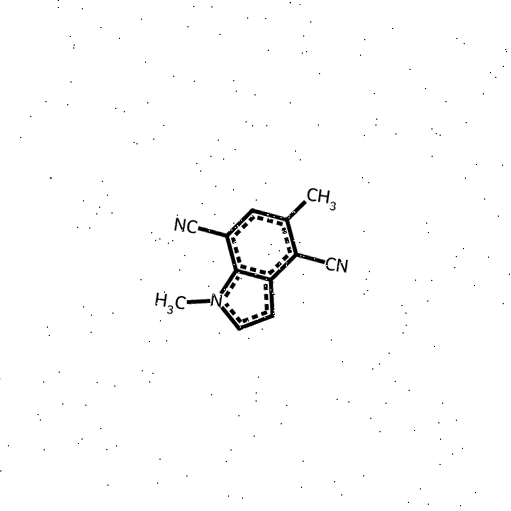 Cc1cc(C#N)c2c(ccn2C)c1C#N